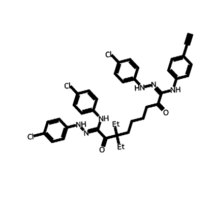 C#Cc1ccc(NC(=NNc2ccc(Cl)cc2)C(=O)CCCCC(CC)(CC)C(=O)C(=NNc2ccc(Cl)cc2)Nc2ccc(Cl)cc2)cc1